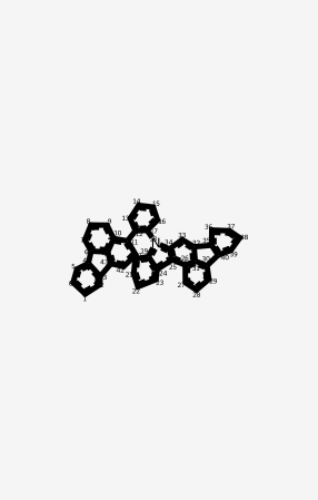 c1ccc2c(c1)-c1cccc3c(-c4ccccc4-n4c5ccccc5c5c6cccc7c6c(cc54)-c4ccccc4-7)ccc-2c13